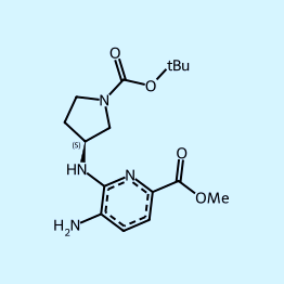 COC(=O)c1ccc(N)c(N[C@H]2CCN(C(=O)OC(C)(C)C)C2)n1